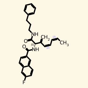 C=C(/C=C\C=C/C)[C@H](NC(=O)c1ccc2cc(F)ccc2c1)C(=O)NCCCc1ccccc1